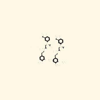 COc1ccc(CCNC(=O)CN(c2cccc(C(N)=O)c2)C(O)S(=O)(=O)O)cc1OC.COc1ccc(CCNC(=O)CN(c2cccc(C(N)=O)c2)C(O)S(=O)(=O)O)cc1OC.[CaH2]